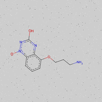 NCCCOc1cccc2c1nc(O)n[n+]2[O-]